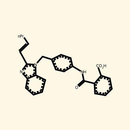 CCCC=Cc1nc2ccccc2n1Cc1ccc(NC(=O)c2ccccc2C(=O)O)cc1